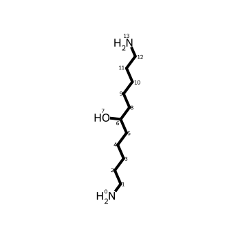 NCCCCCC(O)CCCCCN